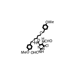 COc1ccc(COCCC(COCc2ccc(OC)cc2)ONc2nc(NC=O)nc(Cl)c2NC=O)cc1